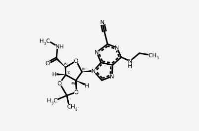 CCNc1nc(C#N)nc2c1ncn2[C@@H]1O[C@H](C(=O)NC)[C@H]2OC(C)(C)O[C@H]21